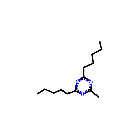 CCCCCc1nc(C)nc(CCCCC)n1